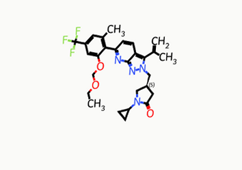 C=C(C)c1c2ccc(-c3c(C)cc(C(F)(F)F)cc3OCOCC)nc2nn1C[C@H]1CC(=O)N(C2CC2)C1